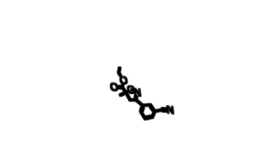 CCOC(=O)C1(C)CC(c2cccc(C#N)c2)=NO1